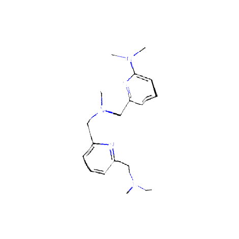 CN(C)Cc1cccc(CN(C)Cc2cccc(N(C)C)n2)n1